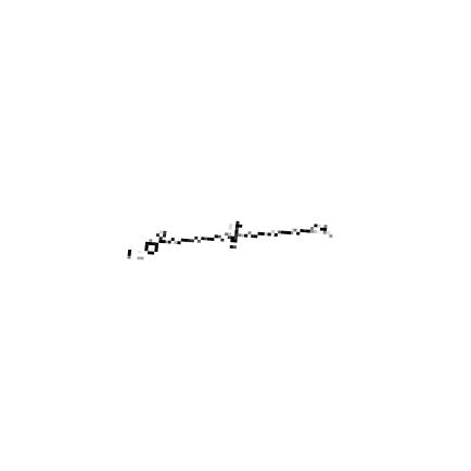 CCCCCCCCCCCCCCNC(=O)NCCCCCCCCCCCC(=O)c1ccc(O)cc1